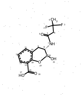 CC(F)(F)CC(=O)N[C@H]1Cc2cccc(C(=O)O)c2OB1O